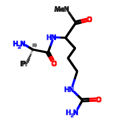 CNC(=O)C(CCCNC(N)=O)NC(=O)[C@@H](N)C(C)C